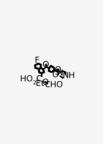 CCOC=O.O=C(O)Cc1cc(C(=O)c2ccc(S(=O)(=O)N3CCNCC3)cc2)c2cc(F)ccc2c1